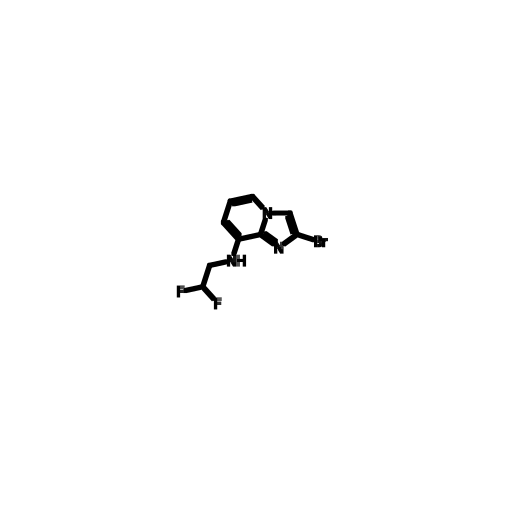 FC(F)CNc1cccn2cc(Br)nc12